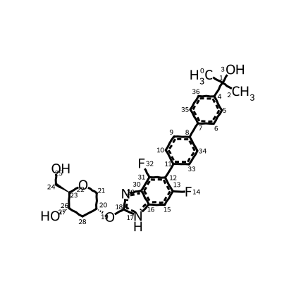 CC(C)(O)c1ccc(-c2ccc(-c3c(F)cc4[nH]c(O[C@H]5CO[C@H](CO)[C@@H](O)C5)nc4c3F)cc2)cc1